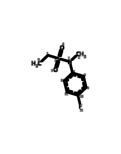 CCS(=O)(=O)N(C)c1ccc(F)cc1